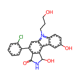 O=C1NC(O)c2c1c(-c1ccccc1Cl)cc1c2c2cc(O)ccc2n1CCCO